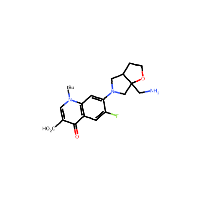 CC(C)(C)n1cc(C(=O)O)c(=O)c2cc(F)c(N3CC4CCOC4(CN)C3)cc21